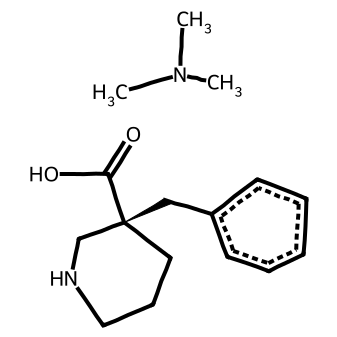 CN(C)C.O=C(O)[C@]1(Cc2ccccc2)CCCNC1